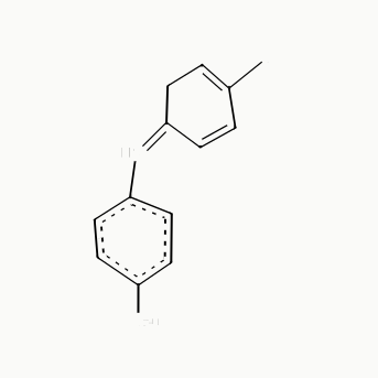 CC(C)(C)c1ccc([SH]=C2C=CC(S)=CC2)cc1